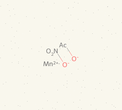 CC(=O)[O-].O=[N+]([O-])[O-].[Mn+2]